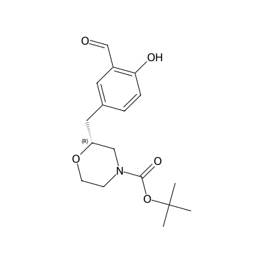 CC(C)(C)OC(=O)N1CCO[C@H](Cc2ccc(O)c(C=O)c2)C1